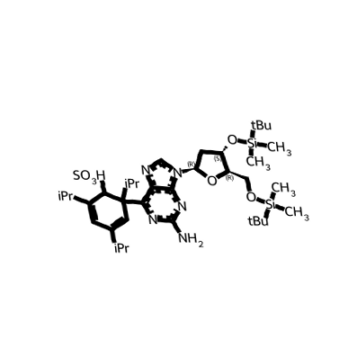 CC(C)C1=CC(c2nc(N)nc3c2ncn3[C@H]2C[C@H](O[Si](C)(C)C(C)(C)C)[C@@H](CO[Si](C)(C)C(C)(C)C)O2)(C(C)C)C(S(=O)(=O)O)C(C(C)C)=C1